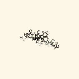 CSc1cc(C)[nH]c(=O)c1CNC(=O)c1c(C)n([C@H](C)C2CC(C(=O)NC3COC3)C2)c2ccccc12